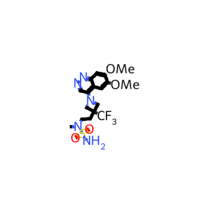 COc1cc2nncc(N3CC(CCN(C)S(N)(=O)=O)(C(F)(F)F)C3)c2cc1OC